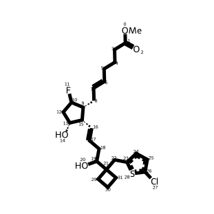 COC(=O)CCCC=CC[C@H]1C(F)C[C@@H](O)[C@H]1C=CCC(O)C1(Cc2ccc(Cl)s2)CCC1